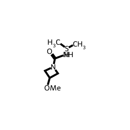 COC1CN(C(=O)N[SH](C)C)C1